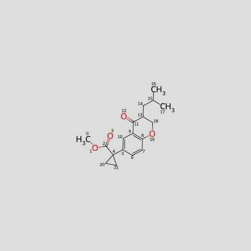 COC(=O)C1(c2ccc3c(c2)C(=O)C(CC(C)C)CO3)CC1